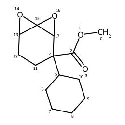 COC(=O)C1(C2CCCCC2)CCC2OC23OC31